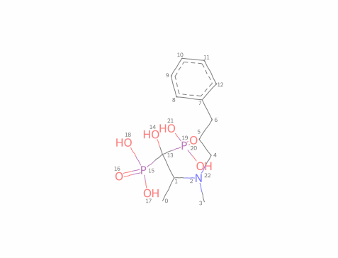 CC(N(C)CCCc1ccccc1)C(O)(P(=O)(O)O)P(=O)(O)O